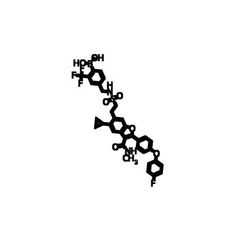 CNC(=O)c1c(-c2ccc(Oc3ccc(F)cc3)cc2)oc2cc(CCS(=O)(=O)NCc3ccc(B(O)O)c(C(F)(F)F)c3)c(C3CC3)cc12